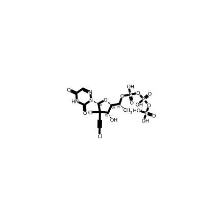 C[C@@H](OP(=O)(O)OP(=O)(O)OP(=O)(O)O)[C@H]1O[C@@H](n2ncc(=O)[nH]c2=O)C(Cl)(C#CCl)[C@H]1O